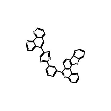 c1cc(-c2ncc(-c3cc4cccnc4c4ncccc34)cn2)cc(-c2nc3ccccc3c3c2ccc2c4ccccc4sc23)c1